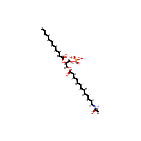 CCCCCCCCCCCC(=O)O[C@H](COC(=O)CCCCCCCCCCCCNC(C)=O)COP(=O)(O)O